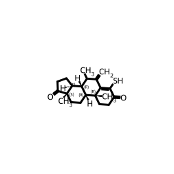 C=C1C2=C(S)C(=O)CC[C@]2(C)[C@@H]2CC[C@]3(C)C(=O)CC[C@H]3[C@@H]2C1C